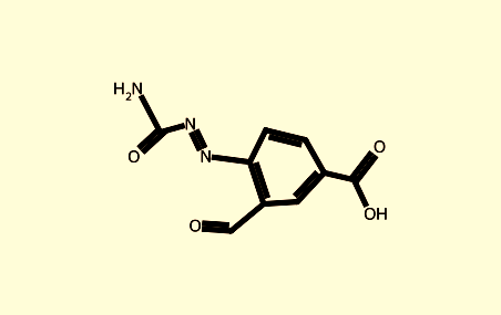 NC(=O)N=Nc1ccc(C(=O)O)cc1C=O